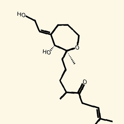 CC(C)=CCC(=O)C(C)CCC[C@]1(C)OCCCC(=CCO)[C@H]1O